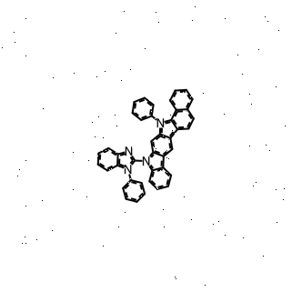 c1ccc(-n2c(-n3c4ccccc4c4cc5c6ccc7ccccc7c6n(-c6ccccc6)c5cc43)nc3ccccc32)cc1